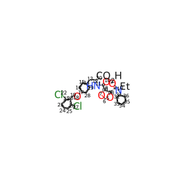 CCN(C(=O)[C@@H]1OCO[C@H]1C(=O)NC(Cc1ccc(OCc2c(Cl)cccc2Cl)cc1)C(=O)O)c1ccccc1